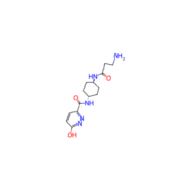 NCCC(=O)N[C@H]1CC[C@H](NC(=O)c2ccc(O)nn2)CC1